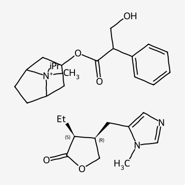 CC(C)[N+]1(C)C2CCC1CC(OC(=O)C(CO)c1ccccc1)C2.CC[C@@H]1C(=O)OC[C@@H]1Cc1cncn1C